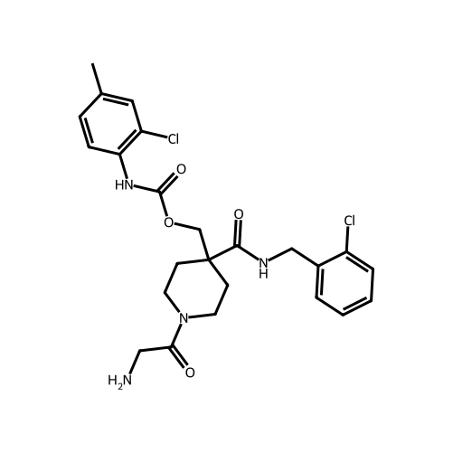 Cc1ccc(NC(=O)OCC2(C(=O)NCc3ccccc3Cl)CCN(C(=O)CN)CC2)c(Cl)c1